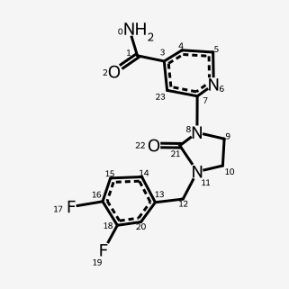 NC(=O)c1ccnc(N2CCN(Cc3ccc(F)c(F)c3)C2=O)c1